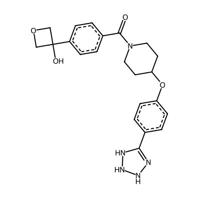 O=C(c1ccc(C2(O)COC2)cc1)N1CCC(Oc2ccc(C3=NNNN3)cc2)CC1